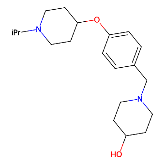 CC(C)N1CCC(Oc2ccc(CN3CCC(O)CC3)cc2)CC1